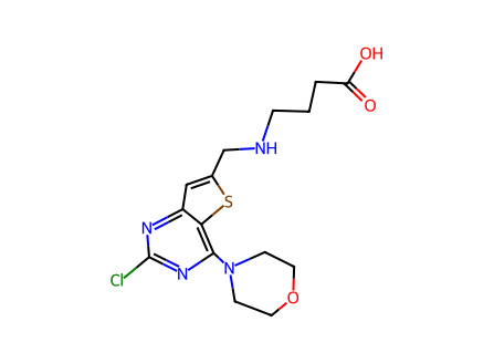 O=C(O)CCCNCc1cc2nc(Cl)nc(N3CCOCC3)c2s1